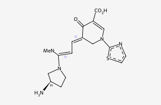 CN/C(=C\C=C1/CN(c2nccs2)C=C(C(=O)O)C1=O)N1CC[C@@H](N)C1